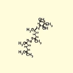 CC(=CCc1cc(O)cc(C)c1O)CCCC(C)CCCC(C)CCCC(C)C